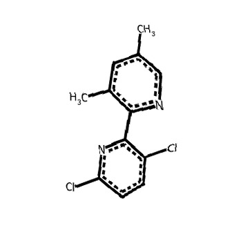 Cc1cnc(-c2nc(Cl)ccc2Cl)c(C)c1